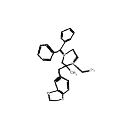 CCN1CCN(C(c2ccccc2)c2ccccc2)CC1(C)Cc1ccc2c(c1)OCCO2